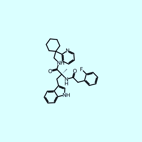 C[C@@](Cc1c[nH]c2ccccc12)(NC(=O)Cc1ccccc1F)C(=O)NCC1(c2ccccn2)CCCCC1